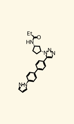 CCC(=O)N[C@H]1CC[C@@H](n2nncc2-c2ccc(-c3ccc(-n4cccn4)cc3)cc2)C1